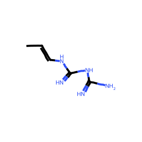 CC=CNC(=N)NC(=N)N